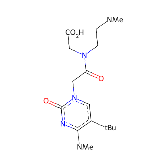 CNCCN(CC(=O)O)C(=O)Cn1cc(C(C)(C)C)c(NC)nc1=O